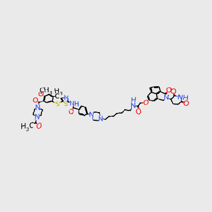 COc1cc(C)c(Sc2cnc(NC(=O)c3ccc(N4CCN(CCCCCCCNC(=O)COc5cc6c7c(cccc7c5)C(=O)N(C5CCC(=O)NC5=O)C6)CC4)cc3)s2)cc1C(=O)N1CCN(C(C)=O)CC1